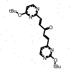 CC(C)(C)Oc1ccnc(/C=C/C(=O)/C=C/c2ccnc(OC(C)(C)C)n2)n1